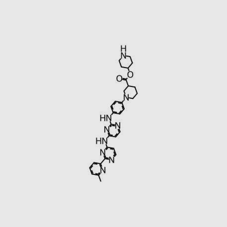 Cc1cccc(-c2nccc(Nc3ccnc(Nc4ccc(N5CCCC(C(=O)OC6CCNCC6)C5)cc4)n3)n2)n1